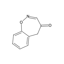 O=C1C=NOc2ccccc2C1